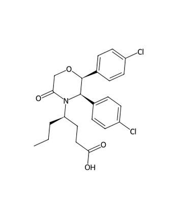 CCC[C@H](CCC(=O)O)N1C(=O)CO[C@@H](c2ccc(Cl)cc2)[C@H]1c1ccc(Cl)cc1